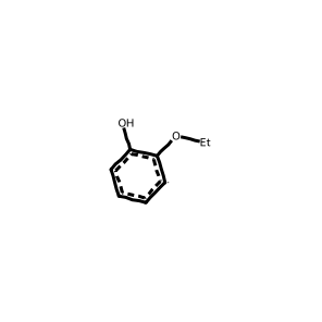 CCOc1[c]cccc1O